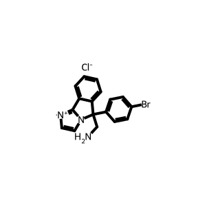 NCC1(c2ccc(Br)cc2)c2ccccc2C2=[N+]C=CN21.[Cl-]